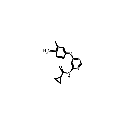 Cc1cc(Oc2cc(NC(=O)C3CC3)ncn2)ccc1N